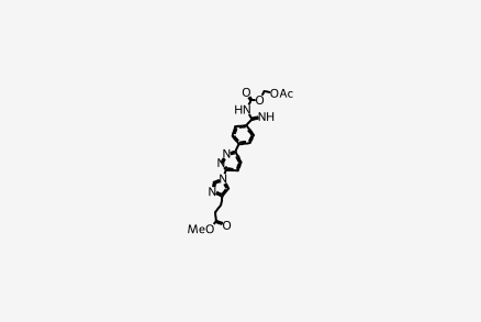 COC(=O)CCc1cn(-c2ccc(-c3ccc(C(=N)NC(=O)OCOC(C)=O)cc3)nn2)cn1